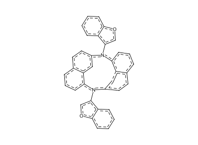 c1ccc2c(-n3c4ccc5cccc(c5c4)n(-c4coc5ccccc45)c4ccc5cccc3c5c4)coc2c1